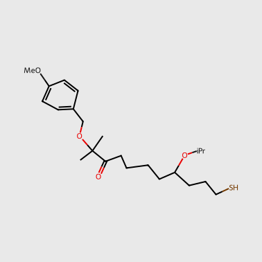 COc1ccc(COC(C)(C)C(=O)CCCCC(CCCS)OC(C)C)cc1